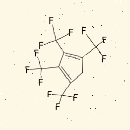 FC(F)(F)C1=C(C(F)(F)F)C(C(F)(F)F)=C(C(F)(F)F)C1